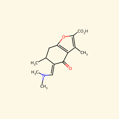 Cc1c(C(=O)O)oc2c1C(=O)C(=CN(C)C)C(C)C2